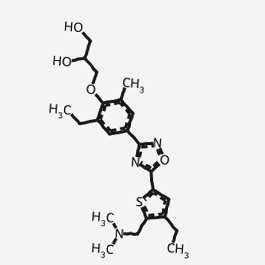 CCc1cc(-c2nc(-c3cc(C)c(OCC(O)CO)c(CC)c3)no2)sc1CN(C)C